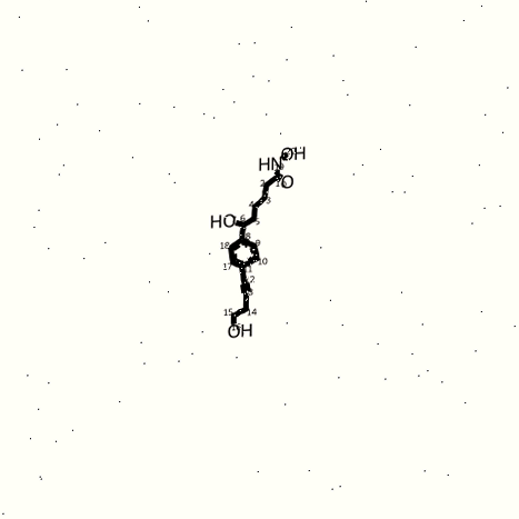 O=C(CCCCC(O)c1ccc(C#CCCO)cc1)NO